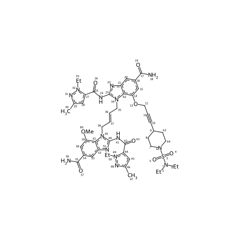 CCN(CC)S(=O)(=O)N1CCC(C#CCOc2cc(C(N)=O)cc3nc(NC(=O)c4cc(C)nn4CC)n(C/C=C/Cn4c(NC(=O)c5cc(C)nn5CC)nc5cc(C(N)=O)cc(OC)c54)c23)CC1